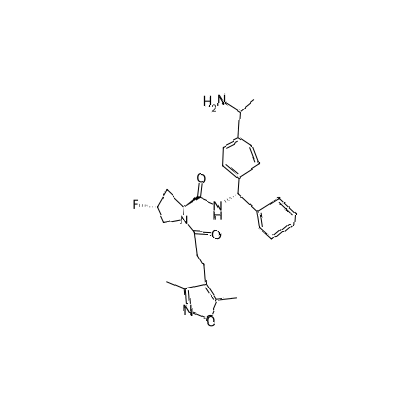 Cc1noc(C)c1CCC(=O)N1C[C@H](F)C[C@H]1C(=O)N[C@@H](c1ccccc1)c1ccc(C(C)N)cc1